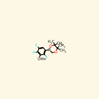 COc1c(F)c(F)cc(B2COC(C)(C)C(C)(C)O2)c1F